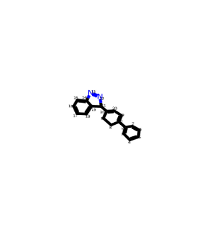 C1=C(c2ccccc2)CCC(C2N=Nc3ccccc32)=C1